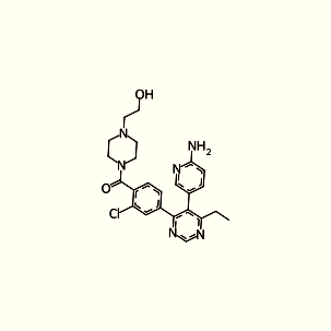 CCc1ncnc(-c2ccc(C(=O)N3CCN(CCO)CC3)c(Cl)c2)c1-c1ccc(N)nc1